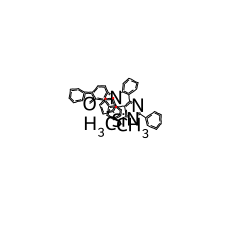 C[Si]1(C)c2ccccc2-c2c(-c3ccccc3-n3c4ccccc4c4c5oc6ccccc6c5ccc43)nc(-c3ccccc3)nc21